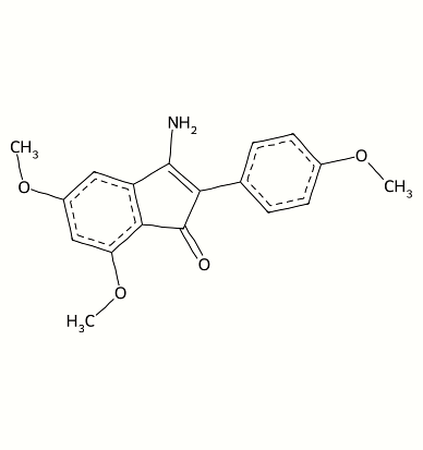 COc1ccc(C2=C(N)c3cc(OC)cc(OC)c3C2=O)cc1